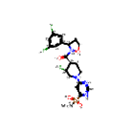 CNS(=O)(=O)c1cc(N2CC[C@H](C(=O)N3OCCC3c3cc(F)cc(F)c3)[C@H](F)C2)ncn1